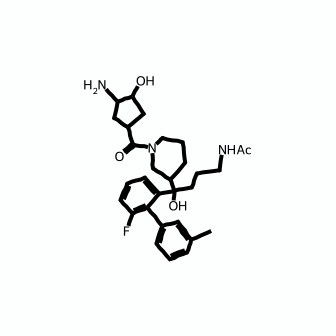 CC(=O)NCCCC(O)(c1cccc(F)c1-c1cccc(C)c1)C1CCCN(C(=O)C2CC(N)C(O)C2)C1